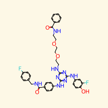 O=C(NCCOCCOCCNc1nc(Nc2ccc(C(=O)NCc3ccc(F)cc3)cc2)nc(Nc2ccc(O)c(F)c2)n1)c1ccccc1